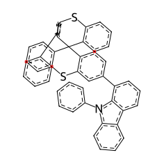 c1ccc(-c2cccc3c2C2(c4ccccc4Sc4cc(-c5cccc6c7ccccc7n(-c7ccccc7)c56)ccc42)c2ccccc2S3)cc1